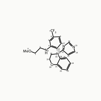 COCCNc1cc(C(F)(F)F)ccc1[N@@+]1(c2ccncn2)CCOc2ccccc21